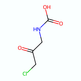 O=C(CCl)CNC(=O)O